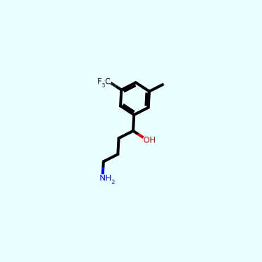 Cc1cc(C(O)CCCN)cc(C(F)(F)F)c1